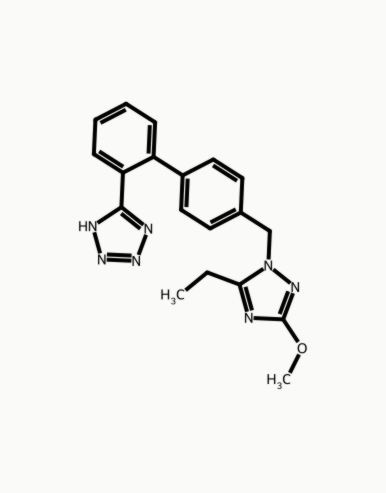 CCc1nc(OC)nn1Cc1ccc(-c2ccccc2-c2nnn[nH]2)cc1